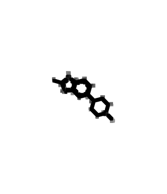 Cc1nc2cc(C3CCN(C)CC3)ccc2o1